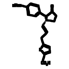 CCCCCCc1ccc(N2C(=O)CC[C@@H]2/C=C/Cc2ccc(C(=O)O)s2)cc1